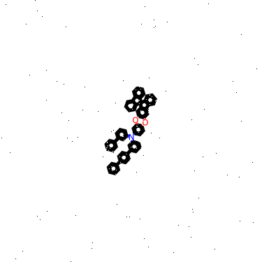 c1cc(-c2ccc(-c3ccccc3)cc2)cc(N(c2cccc(-c3ccccc3)c2)c2ccc3c(c2)Oc2cc4c(cc2O3)-c2ccccc2C42C3=CCCC=C3c3ccccc32)c#1